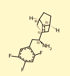 N[C@@H](Cc1cc(F)c(F)cc1F)[C@@H]1C[C@H]2CC[C@@H](C1)N2